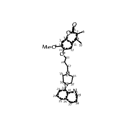 COc1cc2oc(=O)c(C)c(C)c2cc1OCCCN1CCN(c2cccc3cccnc23)CC1